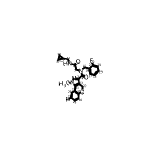 Cn1nc(C(=O)N(CC(=O)NCC2CC2)Cc2ccccc2F)c2c1-c1cc(F)ccc1OC2